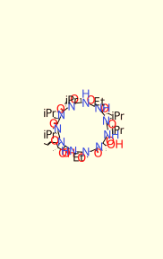 C/C=C/C[C@@H](C)[C@@H](O)[C@H]1C(=O)N[C@@H](CC)C(=O)N(C)CC(=O)N(C)C([C@@H](C)O)C(=O)N[C@@H](C(C)C)C(=O)N(C)[C@@H](CC(C)C)C(=O)N[C@@H](CC)C(=O)N[C@H](C)C(=O)N(C)[C@@H](CC(C)C)C(=O)N(C)[C@H](CC(C)C)C(=O)N(C)[C@@H](C(C)C)C(=O)N1C